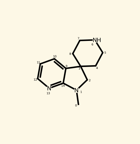 CN1CC2(CCNCC2)c2cccnc21